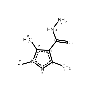 CCn1nc(C)c(C(=O)NN)c1C